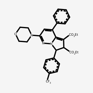 CCOC(=O)C1=C2C(c3ccccc3)=CC(N3CCOCC3)=NN2C(c2ccc(C(F)(F)F)cc2)C1C(=O)OCC